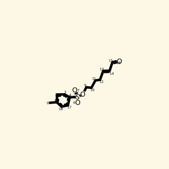 Cc1ccc(S(=O)(=O)OCCCCC=CC=O)cc1